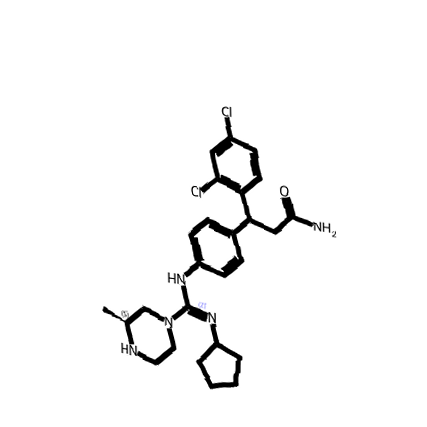 C[C@H]1CN(/C(=N\C2CCCC2)Nc2ccc(C(CC(N)=O)c3ccc(Cl)cc3Cl)cc2)CCN1